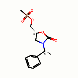 C[C@H](c1ccccc1)N1C[C@H](COS(C)(=O)=O)OC1=O